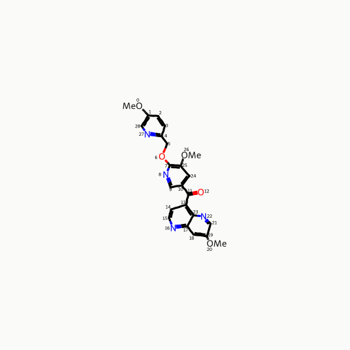 COc1ccc(COc2ncc(C(=O)c3ccnc4cc(OC)cnc34)cc2OC)nc1